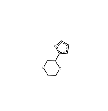 c1coc(C2C[N]CCO2)c1